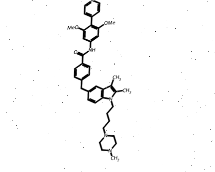 COc1cc(NC(=O)c2ccc(Cc3ccc4c(c3)c(C)c(C)n4CCCCN3CCN(C)CC3)cc2)cc(OC)c1-c1ccncc1